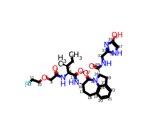 CC[C@H](C)[C@H](NC(=O)COCCF)C(=O)N[C@H]1CCc2cccc3c2N(C1=O)[C@H](C(=O)NCc1nc(O)c[nH]1)C3